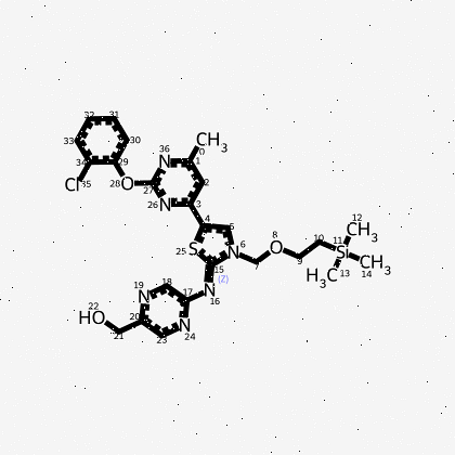 Cc1cc(-c2cn(COCC[Si](C)(C)C)/c(=N/c3cnc(CO)cn3)s2)nc(Oc2ccccc2Cl)n1